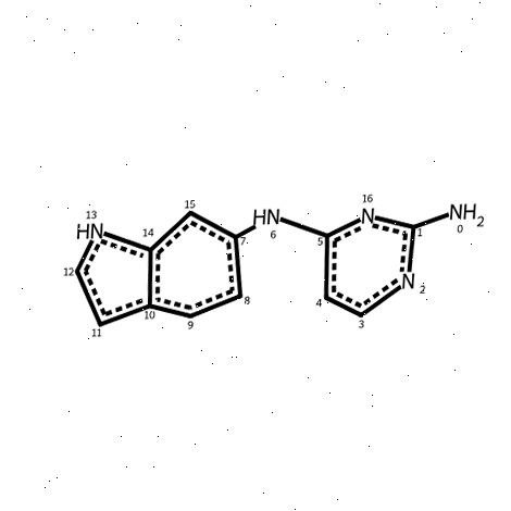 Nc1nccc(Nc2ccc3cc[nH]c3c2)n1